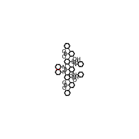 Oc1ccc2c3c1-c1c(cc4c5c1BN(c1ccccc1)c1cc(Nc6ccccc6)c6c(c1-5)B(N(c1ccccc1)c1cc5c7c(c1-6)BOc1ccc6c(c1-7)B(Oc1ccccc1-6)O5)N4c1ccccc1)OB3Oc1ccccc1-2